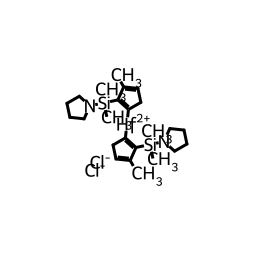 CC1=CC[C]([Hf+2][C]2=C([Si](C)(C)N3CCCC3)C(C)=CC2)=C1[Si](C)(C)N1CCCC1.[Cl-].[Cl-]